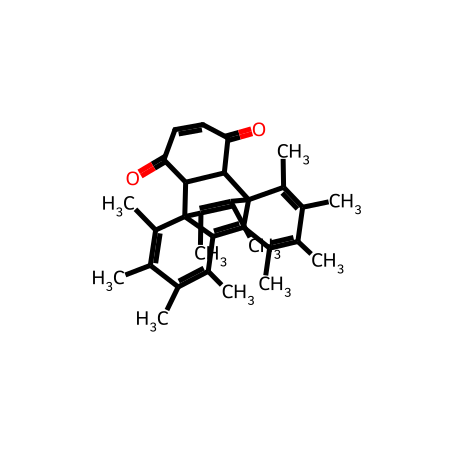 CC1=C(C)C2=C3C(C)=C(C)C(C)=C(C)C34C(C)=C(C)C2(C(C)=C1C)C1C(=O)C=CC(=O)C14